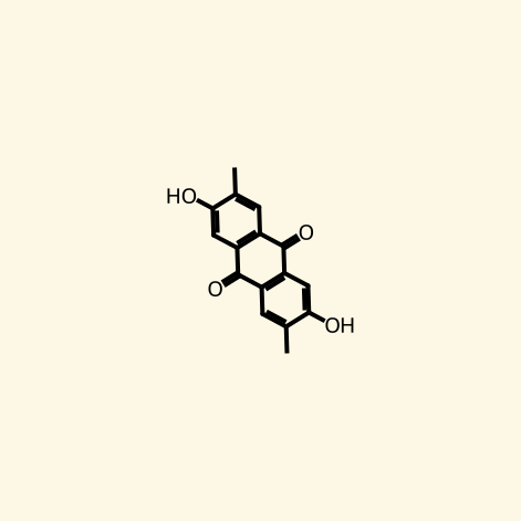 Cc1cc2c(cc1O)C(=O)c1cc(C)c(O)cc1C2=O